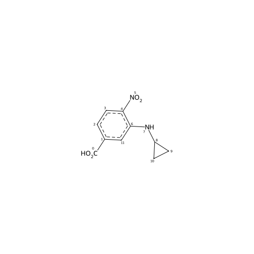 O=C(O)c1ccc([N+](=O)[O-])c(NC2CC2)c1